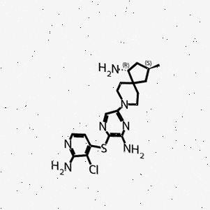 C[C@@H]1C[C@@H](N)C2(CCN(c3cnc(Sc4ccnc(N)c4Cl)c(N)n3)CC2)C1